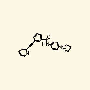 O=C(Nc1ccc(N2CCCS2)cc1)c1cccc(C#Cc2ccccn2)c1